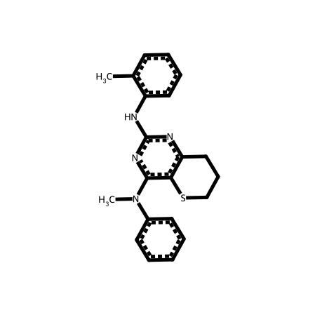 Cc1ccccc1Nc1nc2c(c(N(C)c3ccccc3)n1)SCCC2